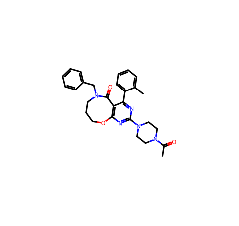 CC(=O)N1CCN(c2nc3c(c(-c4ccccc4C)n2)C(=O)N(Cc2ccccc2)CCCO3)CC1